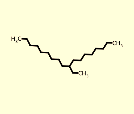 CCCCCCCCC[C](CC)CCCCCCCC